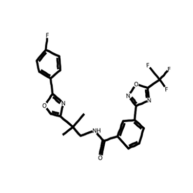 CC(C)(CNC(=O)c1cccc(-c2noc(C(F)(F)F)n2)c1)c1coc(-c2ccc(F)cc2)n1